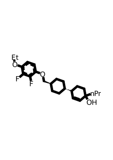 CCCC1(O)C=CC([C@H]2CC[C@H](COc3ccc(OCC)c(F)c3F)CC2)CC1